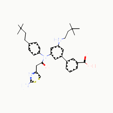 CC(C)(C)CCNc1cc(-c2cccc(C(=O)O)c2)cc(N(C(=O)Cc2csc(N)n2)c2ccc(CCC(C)(C)C)cc2)c1